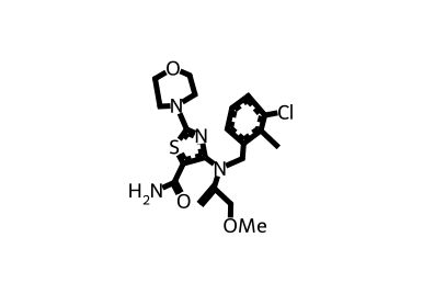 C=C(COC)N(Cc1cccc(Cl)c1C)c1nc(N2CCOCC2)sc1C(N)=O